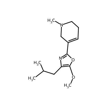 COc1oc(C2=CCCN(C)C2)nc1CC(C)C